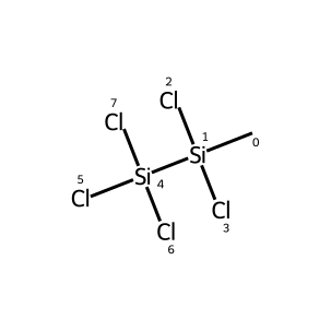 C[Si](Cl)(Cl)[Si](Cl)(Cl)Cl